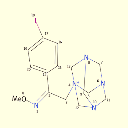 CO/N=C(/C[N+]12CN3CN(CN(C3)C1)C2)c1ccc(I)cc1